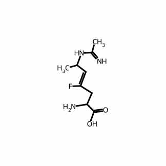 CC(=N)NC(C)C=C(F)CC(N)C(=O)O